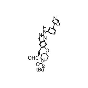 CC(C)(C)OC(=O)N1CCC(Oc2cc3nc(Nc4cccc(-c5cnco5)c4)ncc3cc2C#CC=O)CC1